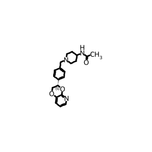 CC(=O)NC1CCN(Cc2ccc([C@H]3COc4cccnc4O3)cc2)CC1